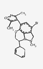 Cc1noc(C)c1-c1cc(Br)c2c3c1OCC(C1C=CC=CC1)N3N(C)C2